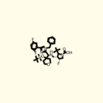 CC(C)(C)C1[C@@H](CN[C@@H](c2nc(-c3cc(F)ccc3F)cn2Cc2ccccc2)C2(O[Si](C)(C)C(C)(C)C)CCOCC2)[C@@H](F)CN1C(=O)O